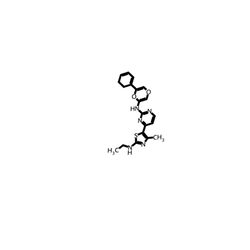 CCNc1nc(C)c(-c2ccnc(NC3=COC=C(C4=CC=CCC4)O3)n2)s1